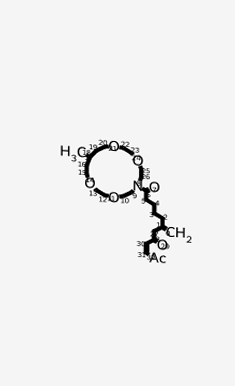 C=C(CCCCC(=O)N1CCOCCOCCC(C)CCOCCOCC1)CC(=O)/C=C\C(C)=O